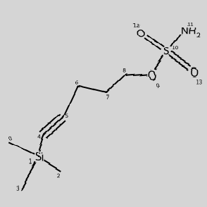 C[Si](C)(C)C#CCCCOS(N)(=O)=O